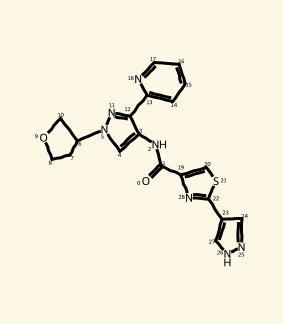 O=C(Nc1cn(C2CCOC2)nc1-c1ccccn1)c1csc(-c2cn[nH]c2)n1